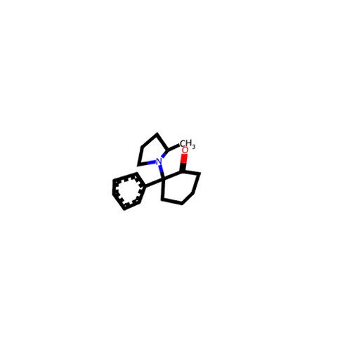 CC1CCCN1C1(c2ccccc2)CCCCC1=O